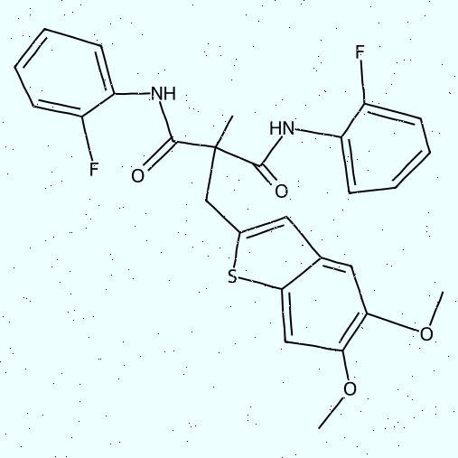 COc1cc2cc(CC(C)(C(=O)Nc3ccccc3F)C(=O)Nc3ccccc3F)sc2cc1OC